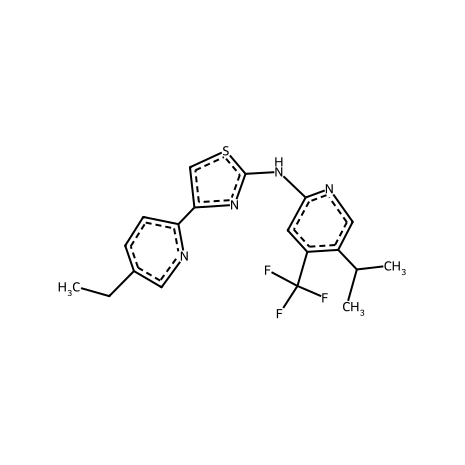 CCc1ccc(-c2csc(Nc3cc(C(F)(F)F)c(C(C)C)cn3)n2)nc1